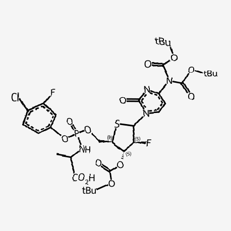 CC(NP(=O)(OC[C@H]1SC(n2ccc(N(C(=O)OC(C)(C)C)C(=O)OC(C)(C)C)nc2=O)[C@@H](F)[C@@H]1OC(=O)OC(C)(C)C)Oc1ccc(Cl)c(F)c1)C(=O)O